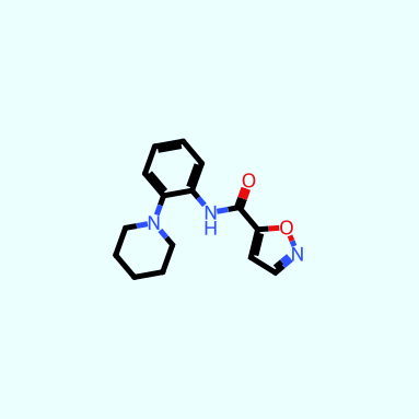 O=C(Nc1ccccc1N1CCCCC1)c1ccno1